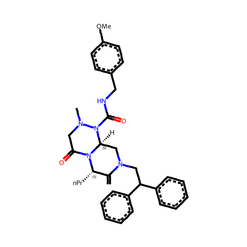 C=C1[C@H](CCC)N2C(=O)CN(C)N(C(=O)NCc3ccc(OC)cc3)[C@H]2CN1CC(c1ccccc1)c1ccccc1